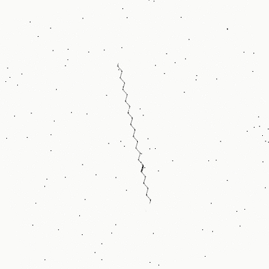 CCCCCC/C=C/CCCCCCCCCCCCCCCCCC